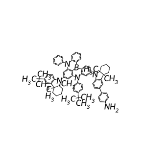 CC(C)(C)c1ccc(N2c3cc(N4c5ccc(-c6ccc(N)cc6)cc5C5(C)CCCCC45C)ccc3B3c4ccccc4N(c4ccccc4)c4cc(N5c6ccc(C(C)(C)C)cc6C6(C)CCCCC56C)cc2c43)cc1